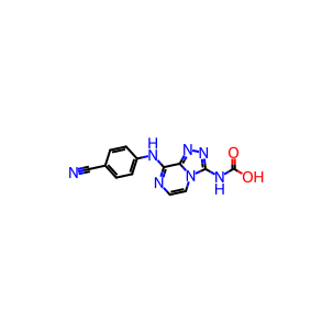 N#Cc1ccc(Nc2nccn3c(NC(=O)O)nnc23)cc1